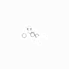 COc1sc(C)cc1CN[C@H]1C2CCN(CC2)[C@H]1C(c1ccccc1)c1ccccc1